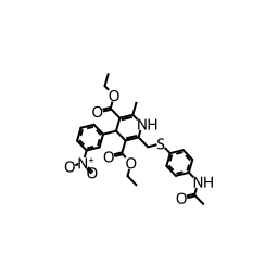 CCOC(=O)C1=C(C)NC(CSc2ccc(NC(C)=O)cc2)=C(C(=O)OCC)C1c1cccc([N+](=O)[O-])c1